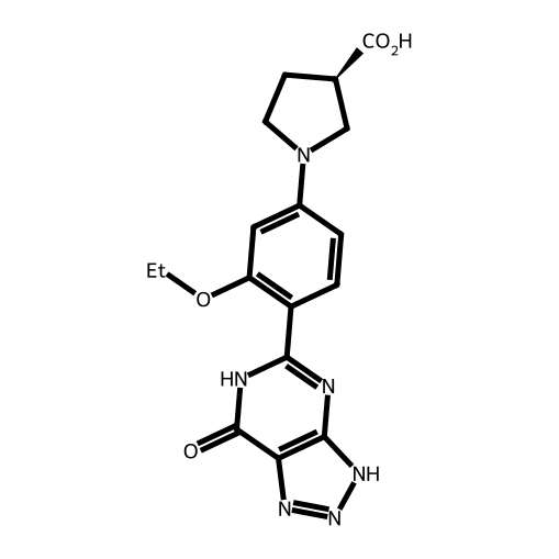 CCOc1cc(N2CC[C@@H](C(=O)O)C2)ccc1-c1nc2[nH]nnc2c(=O)[nH]1